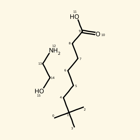 CC(C)(C)CCCCCC(=O)O.NCCO